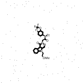 CCN(C(=O)Cn1ncc2c(c1=O)c1ccccc1n2CCOC)c1ccc2c(c1)OC(F)(F)O2